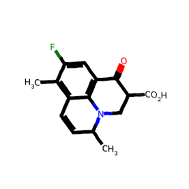 Cc1c(F)cc2c3c1C=CC(C)N3CC(C(=O)O)C2=O